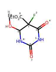 CCOC(=O)C1(F)C(=O)NC(=O)NC1OCC